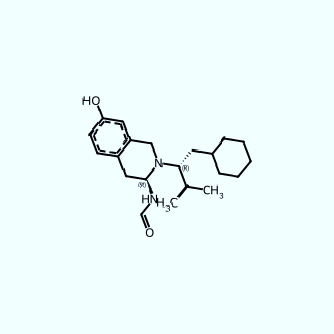 CC(C)[C@@H](CC1CCCCC1)N1Cc2cc(O)ccc2C[C@@H]1NC=O